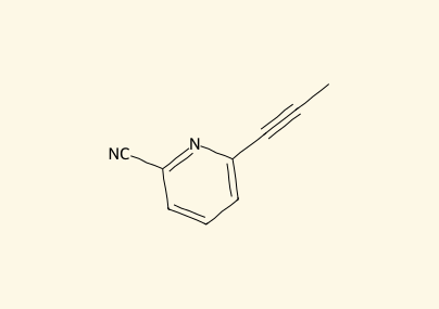 CC#Cc1cccc(C#N)n1